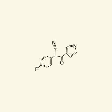 N#CC(C(=O)c1ccncc1)c1ccc(F)cc1